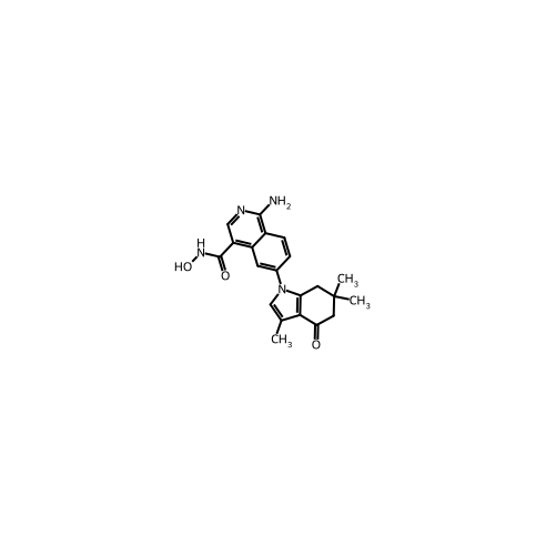 Cc1cn(-c2ccc3c(N)ncc(C(=O)NO)c3c2)c2c1C(=O)CC(C)(C)C2